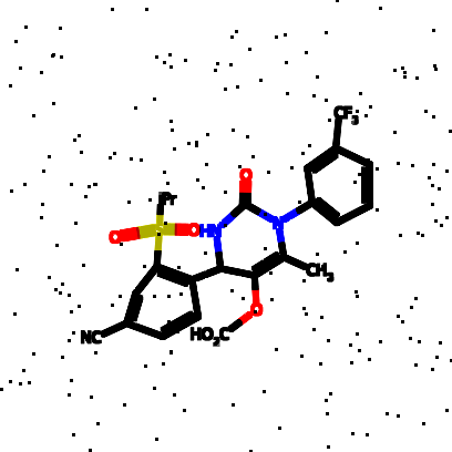 CC1=C(OC(=O)O)C(c2ccc(C#N)cc2S(=O)(=O)C(C)C)NC(=O)N1c1cccc(C(F)(F)F)c1